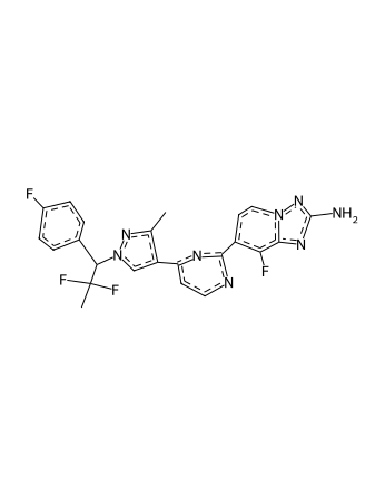 Cc1nn(C(c2ccc(F)cc2)C(C)(F)F)cc1-c1ccnc(-c2ccn3nc(N)nc3c2F)n1